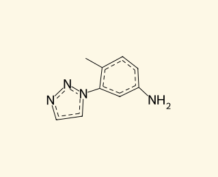 Cc1ccc(N)cc1-n1ccnn1